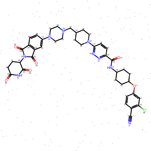 N#Cc1ccc(OC2CCC(NC(=O)c3ccc(N4CCC(CN5CCN(c6ccc7c(c6)C(=O)N(C6CCC(=O)NC6=O)C7=O)CC5)CC4)nn3)CC2)cc1Cl